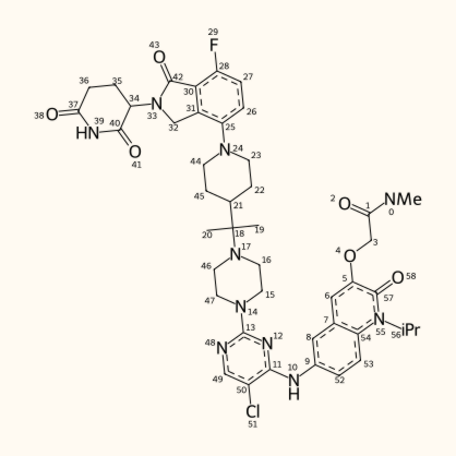 CNC(=O)COc1cc2cc(Nc3nc(N4CCN(C(C)(C)C5CCN(c6ccc(F)c7c6CN(C6CCC(=O)NC6=O)C7=O)CC5)CC4)ncc3Cl)ccc2n(C(C)C)c1=O